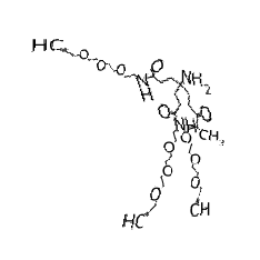 C#CCOCCOCCOCCNC(=O)CCC(N)(CCC(=O)NCCOCCOCCOCC#C)CCC(=O)C(C)COCCOCCOCC#C